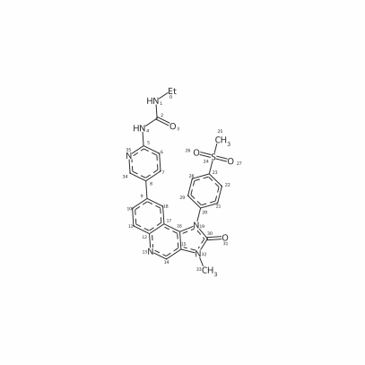 CCNC(=O)Nc1ccc(-c2ccc3ncc4c(c3c2)n(-c2ccc(S(C)(=O)=O)cc2)c(=O)n4C)cn1